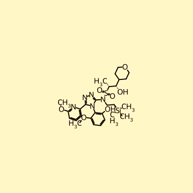 COC1=NC(c2nnc(N(CC[Si](C)(C)C)S(=O)(=O)[C@H](C)[C@@H](O)C3CCOCC3)n2-c2c(O)cccc2OC)=C=C=C1